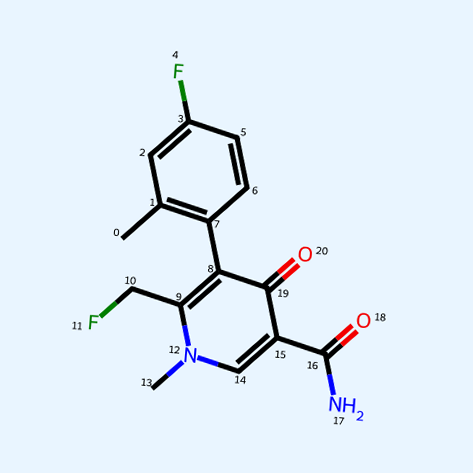 Cc1cc(F)ccc1-c1c(CF)n(C)cc(C(N)=O)c1=O